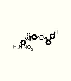 Nc1ccc(SNC(=O)c2ccc(N3CCN(Cc4ccccc4-c4ccc(Cl)cc4)CC3)cc2)cc1[N+](=O)[O-]